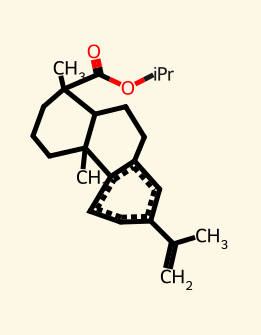 C=C(C)c1ccc2c(c1)CCC1C(C)(C(=O)OC(C)C)CCCC21C